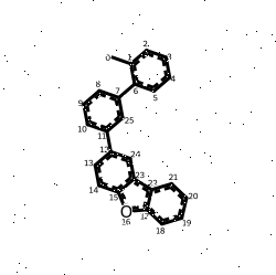 Cc1ccccc1-c1cccc(-c2ccc3oc4ccccc4c3c2)c1